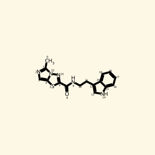 Cc1ncc2sc(C(=O)NCCc3c[nH]c4ccccc34)nn12